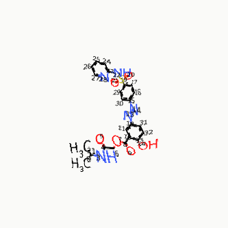 CC(C)NC(=O)COC(=O)c1cc(N=Nc2ccc(S(=O)(=O)Nc3ccccn3)cc2)ccc1O